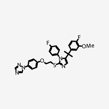 COc1cc(C(C)(C)c2cnc(SCCOc3ccc(-n4cncn4)cc3)n2-c2ccc(F)cc2)ccc1F